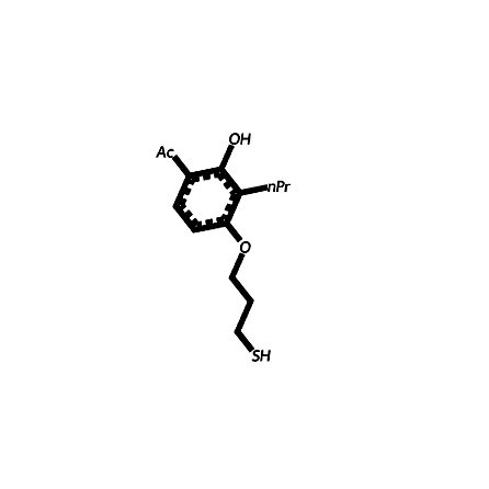 CCCc1c(OCCCS)ccc(C(C)=O)c1O